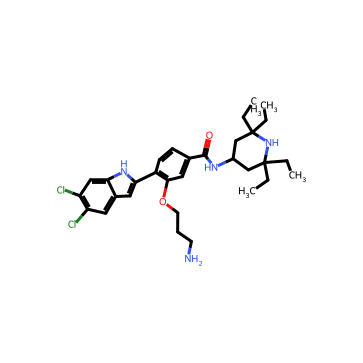 CCC1(CC)CC(NC(=O)c2ccc(-c3cc4cc(Cl)c(Cl)cc4[nH]3)c(OCCCN)c2)CC(CC)(CC)N1